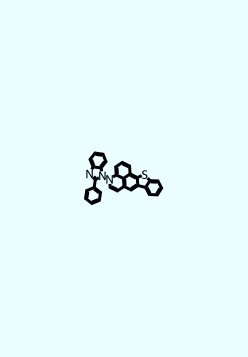 C1=CN(n2c(-c3ccccc3)nc3ccccc32)c2cccc3c2c1cc1c2ccccc2sc31